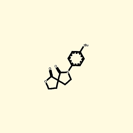 CC(C)(C)c1ccc(N2CCC3(CCOC3=O)C2=O)cc1